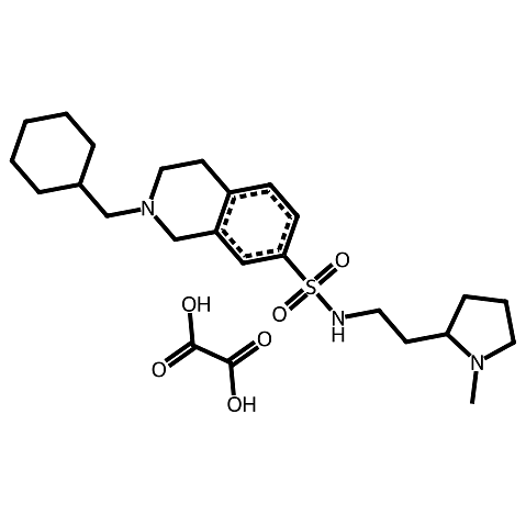 CN1CCCC1CCNS(=O)(=O)c1ccc2c(c1)CN(CC1CCCCC1)CC2.O=C(O)C(=O)O